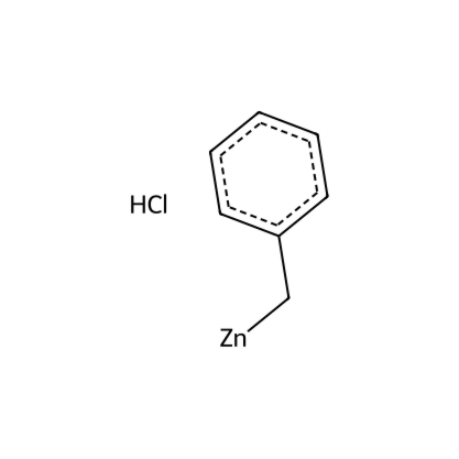 Cl.[Zn][CH2]c1ccccc1